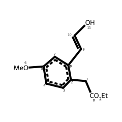 CCOC(=O)Cc1ccc(OC)cc1C=CO